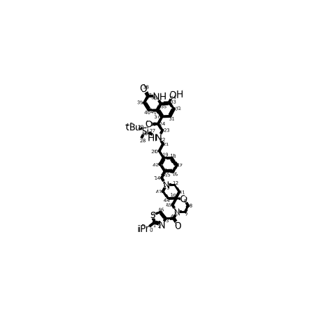 CC(C)c1nc(C(=O)N2CCOC3(CCN(Cc4cccc(CCNCC(O[Si](C)(C)C(C)(C)C)c5ccc(O)c6[nH]c(=O)ccc56)c4)CC3)C2)cs1